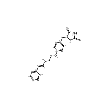 O=C1NC(=O)C(Cc2ccc(OCCON=Cc3ccccn3)cc2)S1